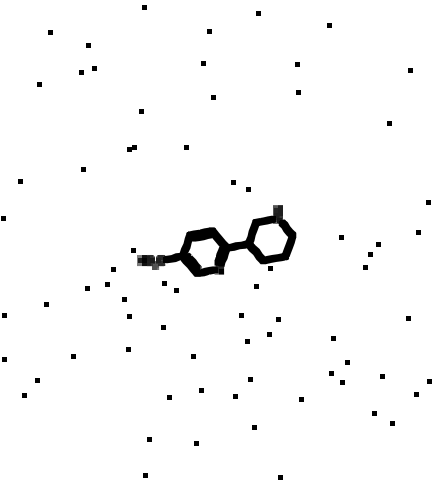 O=C(O)c1ccc(C2CCCNC2)nc1